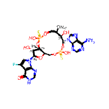 COC1COP(O)(=S)O[C@@H]2C(COP(O)(=S)O[C@@H](n3cnc4c(N)ncnc43)[C@@H]1O)O[C@@H](n1cc(F)c3c(=O)[nH]cnc31)[C@@H]2O